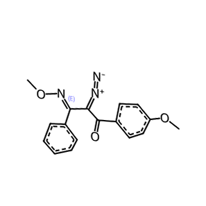 CO/N=C(/C(=[N+]=[N-])C(=O)c1ccc(OC)cc1)c1ccccc1